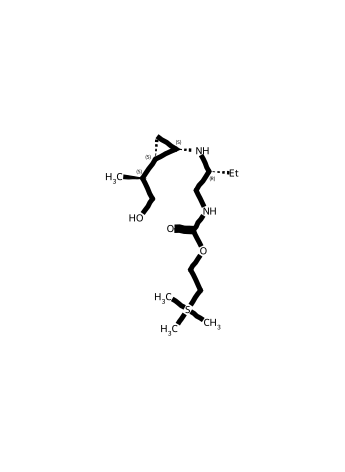 CC[C@H](CNC(=O)OCCS(C)(C)C)N[C@H]1C[C@H]1[C@H](C)CO